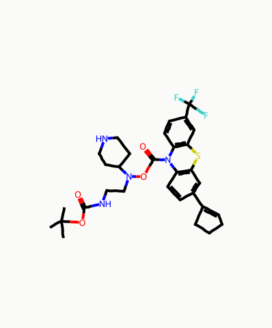 CC(C)(C)OC(=O)NCCN(OC(=O)N1c2ccc(C3=CCCC3)cc2Sc2cc(C(F)(F)F)ccc21)C1CCNCC1